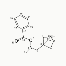 CN(CC12CNC(C1)C2)OC(=O)c1ccccc1